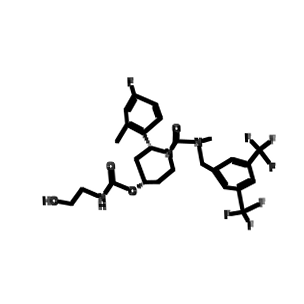 Cc1cc(F)ccc1[C@H]1C[C@@H](OC(=O)NCCO)CCN1C(=O)N(C)Cc1cc(C(F)(F)F)cc(C(F)(F)F)c1